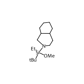 CC[Si](OC)(N1CCC2CCCCC2C1)C(C)(C)C